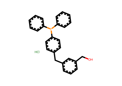 Cl.OCc1cccc(Cc2ccc(P(c3ccccc3)c3ccccc3)cc2)c1